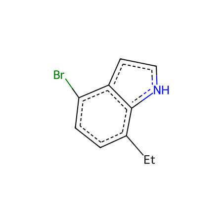 CCc1ccc(Br)c2cc[nH]c12